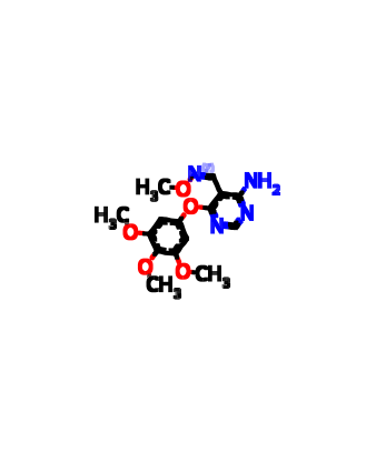 CO/N=C\c1c(N)ncnc1Oc1cc(OC)c(OC)c(OC)c1